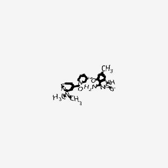 Cc1cc2c(c(OC[C@H]3CCCN(C(=O)C4=CC(N(C)C)=NSC=C4)C3)c1)C(N)=N[S+]([O-])N2